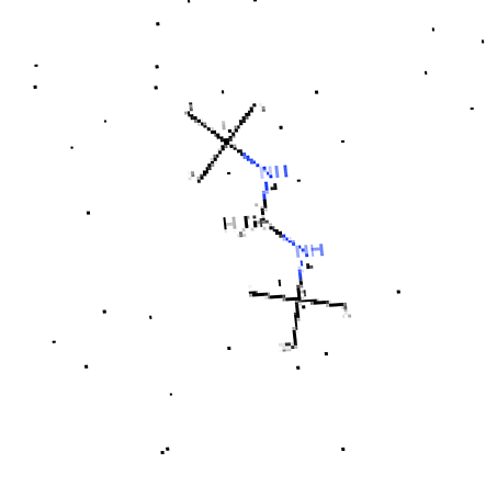 CC(C)(C)[NH][GeH2][NH]C(C)(C)C